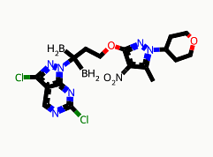 BC(B)(CCOc1nn(C2CCOCC2)c(C)c1[N+](=O)[O-])n1nc(Cl)c2cnc(Cl)nc21